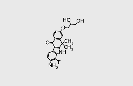 CC1(C)c2cc(OC[C@H](O)CO)ccc2C(=O)c2c1[nH]c1c(F)c(N)ccc21